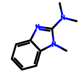 CN(C)c1nc2ccccc2n1C